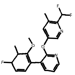 COC1=C(c2cccnc2Oc2cnc(C(F)F)c(C)c2)C=CC(F)C1C